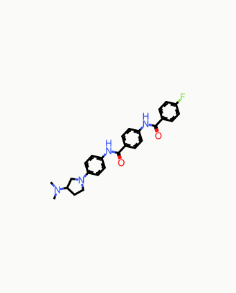 CN(C)C1CCN(c2ccc(NC(=O)c3ccc(NC(=O)c4ccc(F)cc4)cc3)cc2)C1